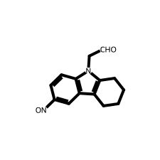 O=CCn1c2c(c3cc(N=O)ccc31)CCCC2